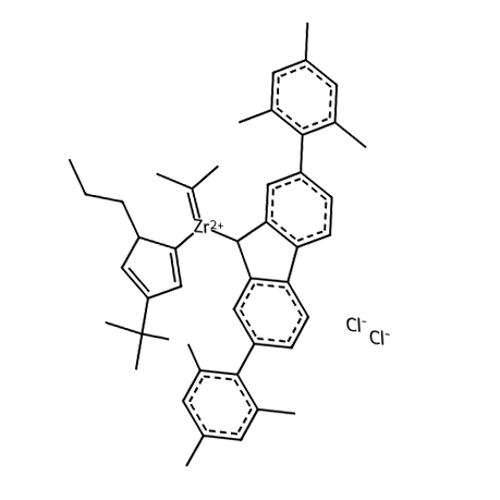 CCCC1C=C(C(C)(C)C)C=[C]1[Zr+2](=[C](C)C)[CH]1c2cc(-c3c(C)cc(C)cc3C)ccc2-c2ccc(-c3c(C)cc(C)cc3C)cc21.[Cl-].[Cl-]